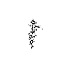 Cn1cc(Nc2nc(N3CCC[C@H]4[C@@H]3CCCN4C(=O)c3ccc(C4CC4)cc3)cnc2CN)cn1